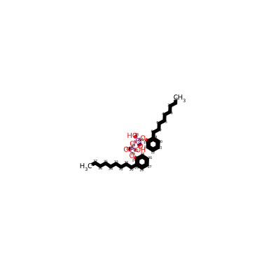 CCCCCCCCCc1ccccc1OP(=O)(O)OP(=O)(O)Oc1ccccc1CCCCCCCCC